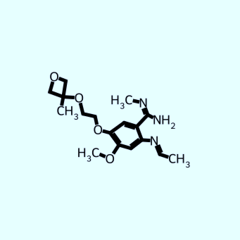 C/C=N/c1cc(OC)c(OCCOC2(C)COC2)cc1/C(N)=N\C